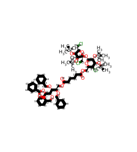 C[Si](C)(C)OC1C(O[Si](C)(C)C)[C@](CCl)(O[C@H]2O[C@H](COC(=O)CCCCC(=O)OC[C@@H](OCc3ccccc3)[C@@H](OCc3ccccc3)[C@H](OCc3ccccc3)C3COC(c4ccccc4)O3)[C@H](Cl)[C@H](O[Si](C)(C)C)[C@H]2O[Si](C)(C)C)O[C@H]1CCl